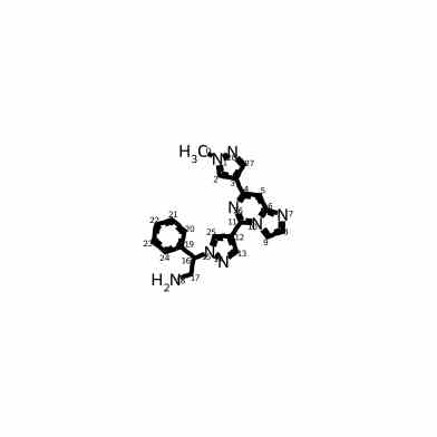 Cn1cc(-c2cc3nccn3c(-c3cnn(C(CN)c4ccccc4)c3)n2)cn1